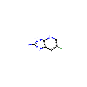 Nc1nc2cc(Cl)cnc2[nH]1